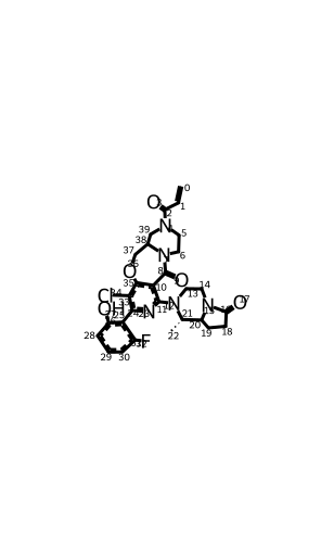 C=CC(=O)N1CCN2C(=O)c3c(N4CCN5C(=O)CCC5[C@@H]4C)nc(-c4c(O)cccc4F)c(Cl)c3OCC2C1